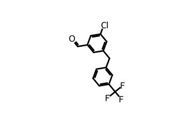 O=Cc1cc(Cl)cc(Cc2cccc(C(F)(F)F)c2)c1